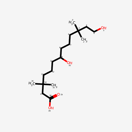 CC(C)(CCO)CCCC(O)CCCC(C)(C)CC(=O)O